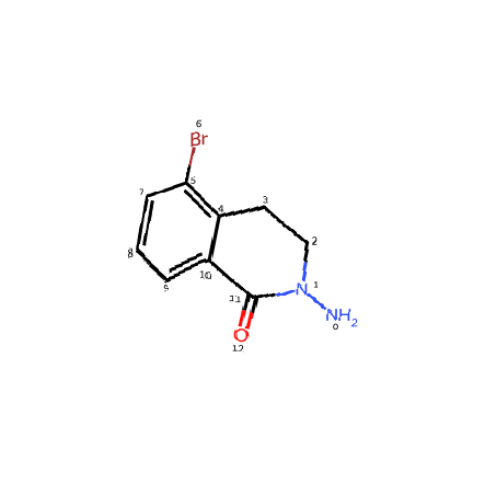 NN1CCc2c(Br)cccc2C1=O